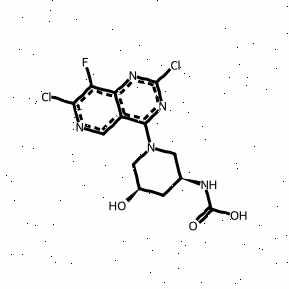 O=C(O)N[C@H]1C[C@@H](O)CN(c2nc(Cl)nc3c(F)c(Cl)ncc23)C1